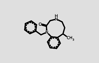 CC1CCNCC(=O)N(Cc2ccccc2)c2ccccc21